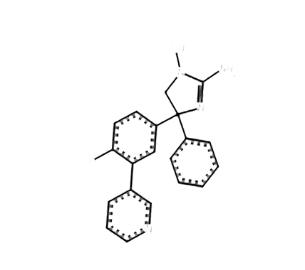 CN1CC(c2ccccc2)(c2ccc(F)c(-c3cccnc3)c2)N=C1N